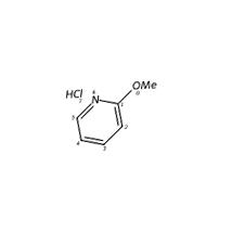 COc1ccccn1.Cl